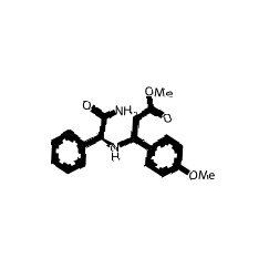 COC(=O)CC(N[C@H](C(N)=O)c1ccccc1)c1ccc(OC)cc1